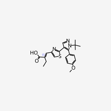 CC/C(=C\c1csc(-c2cnn(C(C)(C)C)c2-c2ccc(OC)cc2)n1)C(=O)O